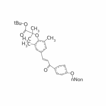 CCCCCCCCCOc1ccc(C(=O)/C=C/c2cc(C)c(OC(C)(C)C(=O)OC(C)(C)C)c(C)c2)cc1